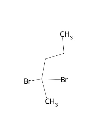 CCCC(C)(Br)Br